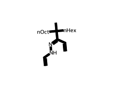 C=CN/N=C(\C=C)C(C)(CCCCCC)CCCCCCCC